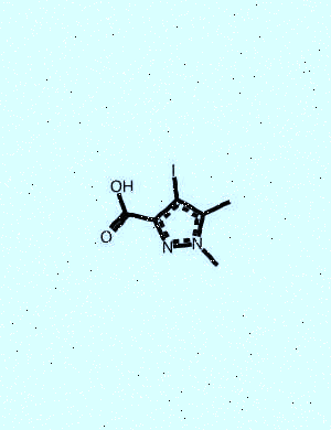 Cc1c(I)c(C(=O)O)nn1C